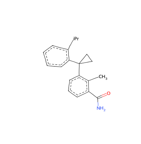 Cc1c(C(N)=O)cccc1C1(c2ccccc2C(C)C)CC1